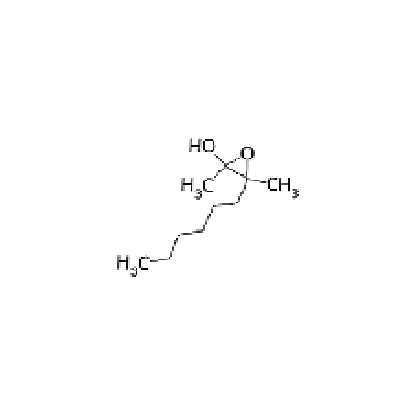 CCCCCCC1(C)OC1(C)O